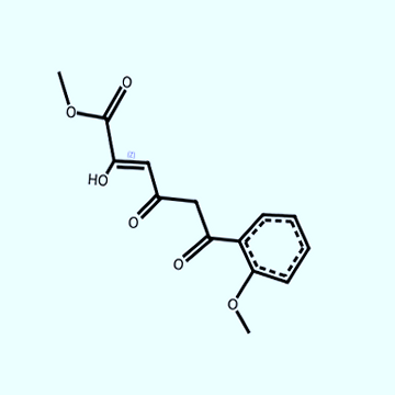 COC(=O)/C(O)=C/C(=O)CC(=O)c1ccccc1OC